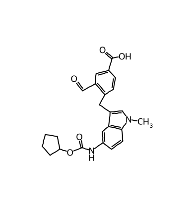 Cn1cc(Cc2ccc(C(=O)O)cc2C=O)c2cc(NC(=O)OC3CCCC3)ccc21